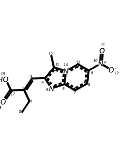 CC/C(=C\c1nc2ccc([N+](=O)[O-])cn2c1C)C(=O)O